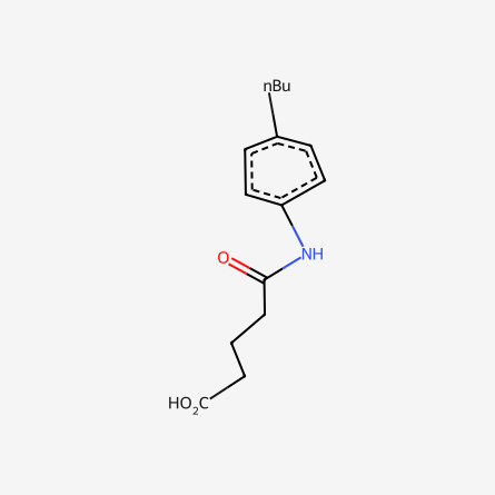 CCCCc1ccc(NC(=O)CCCC(=O)O)cc1